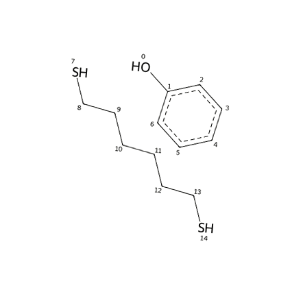 Oc1ccccc1.SCCCCCCS